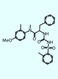 COc1ccc(N(C)C(=O)C(Cc2ccccc2)NC(=O)NS(=O)(=O)c2ccccc2C)c(C)c1